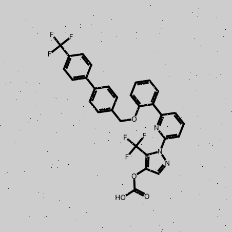 O=C(O)Oc1cnn(-c2cccc(-c3ccccc3OCc3ccc(-c4ccc(C(F)(F)F)cc4)cc3)n2)c1C(F)(F)F